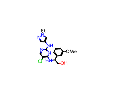 CCn1cc(Nc2ncc(Cl)c(NC(CO)c3cccc(OC)c3)n2)cn1